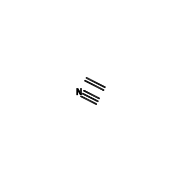 C#N.C=C